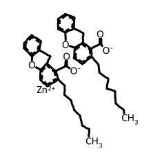 CCCCCCCCc1ccc2c(c1C(=O)[O-])Cc1ccccc1O2.CCCCCCCCc1ccc2c(c1C(=O)[O-])Cc1ccccc1O2.[Zn+2]